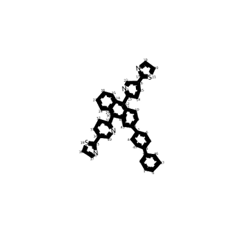 c1ccc(-c2ccc(-c3ccc4c(-c5ccc(-c6nccs6)cn5)c5ccccc5c(-c5ccc(-c6nccs6)cn5)c4c3)cc2)cc1